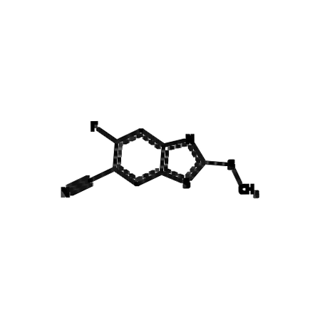 CSc1nc2cc(F)c(C#N)cc2s1